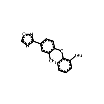 CC(C)(C)c1ccccc1Oc1ccc(-c2ncon2)cc1C(F)(F)F